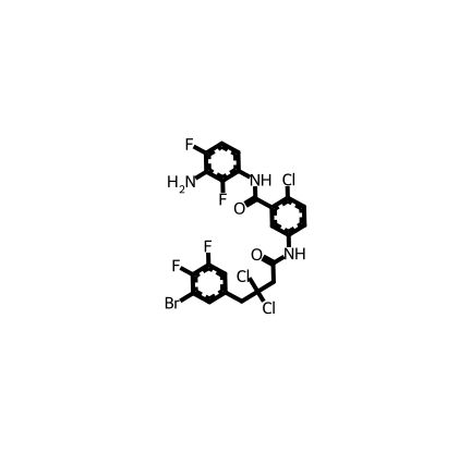 Nc1c(F)ccc(NC(=O)c2cc(NC(=O)CC(Cl)(Cl)Cc3cc(F)c(F)c(Br)c3)ccc2Cl)c1F